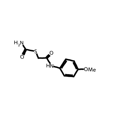 COc1ccc(NC(=O)CSC(N)=O)cc1